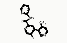 Cc1ccncc1-c1cc(C(=O)Nc2ccccn2)ncc1F